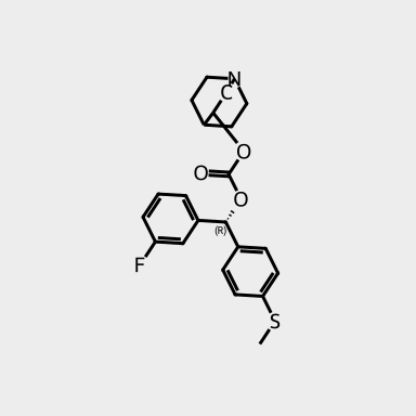 CSc1ccc([C@@H](OC(=O)OC2CN3CCC2CC3)c2cccc(F)c2)cc1